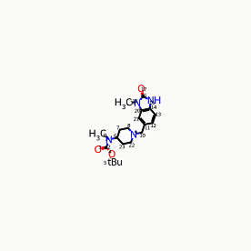 CN(C(=O)OC(C)(C)C)C1CCN(Cc2ccc3[nH]c(=O)n(C)c3c2)CC1